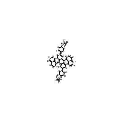 FC(F)(F)Oc1ccc(-c2ccc3c(-c4cccc5ccccc45)c4cc(-c5ccc(OC(F)(F)F)cc5)ccc4c(-c4cccc5ccccc45)c3c2)cc1